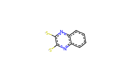 [S]c1nc2ccccc2nc1[S]